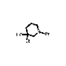 CCC1(O)CCCN(C(C)C)C1